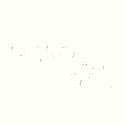 C=C/N=C(\C1=C(C)CCC=C1C(=O)OCC)c1cccc(NC(=O)/C(C)=C/c2ccccc2)c1